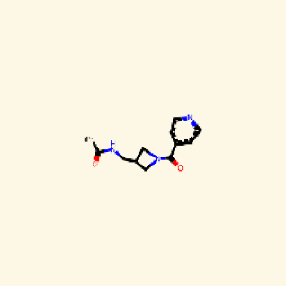 CC(C)C(=O)NCC1CN(C(=O)c2ccncc2)C1